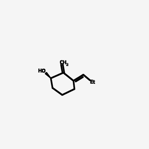 C=C1/C(=C/CC)CCC[C@H]1O